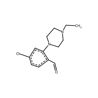 CCN1CCN(c2cc(Cl)ccc2C=O)CC1